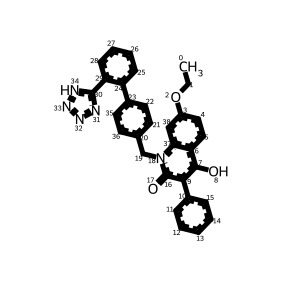 CCOc1ccc2c(O)c(-c3ccccc3)c(=O)n(Cc3ccc(-c4ccccc4-c4nnn[nH]4)cc3)c2c1